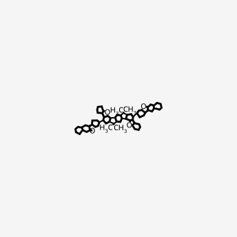 CC1(C)c2cc3c(cc2-c2c1cc(-c1ccc4c(c1)oc1cc5ccccc5cc14)c1c2oc2ccccc21)C(C)(C)c1cc(-c2ccc4c(c2)oc2cc5ccccc5cc24)c2c(oc4ccccc42)c1-3